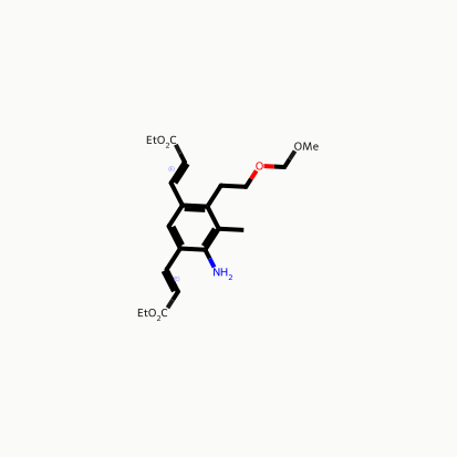 CCOC(=O)/C=C/c1cc(/C=C/C(=O)OCC)c(CCOCOC)c(C)c1N